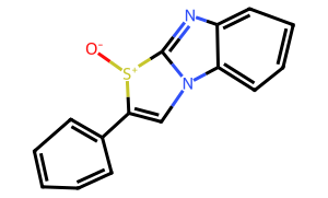 [O-][s+]1c(-c2ccccc2)cn2c3ccccc3nc21